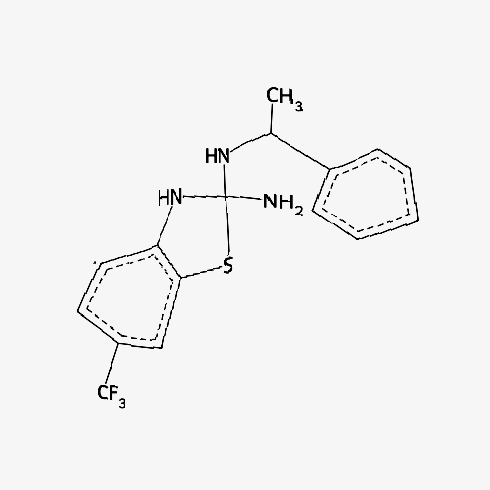 CC(NC1(N)Nc2[c]cc(C(F)(F)F)cc2S1)c1ccccc1